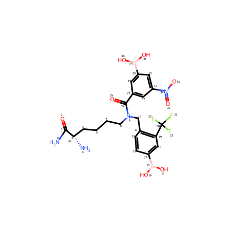 NC(=O)[C@@H](N)CCCCN(Cc1ccc(B(O)O)cc1C(F)(F)F)C(=O)c1cc(B(O)O)cc([N+](=O)[O-])c1